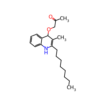 CCCCCCCCC1=C(C)C(OCC(C)=O)c2ccccc2N1